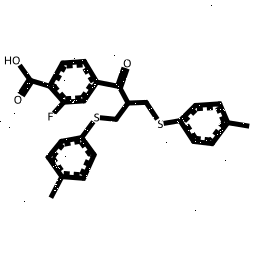 Cc1ccc(SCC(CSc2ccc(C)cc2)C(=O)c2ccc(C(=O)O)c(F)c2)cc1